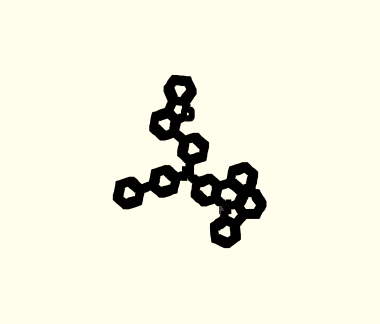 c1ccc(-c2ccc(N(c3cccc(-c4cccc5c4oc4ccccc45)c3)c3ccc(-n4c5ccccc5c5ccccc54)c(-c4ccccc4)c3)cc2)cc1